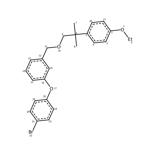 CCOc1ccc(C(C)(C)COCc2cccc(Oc3ccc(Br)cc3)c2)cc1